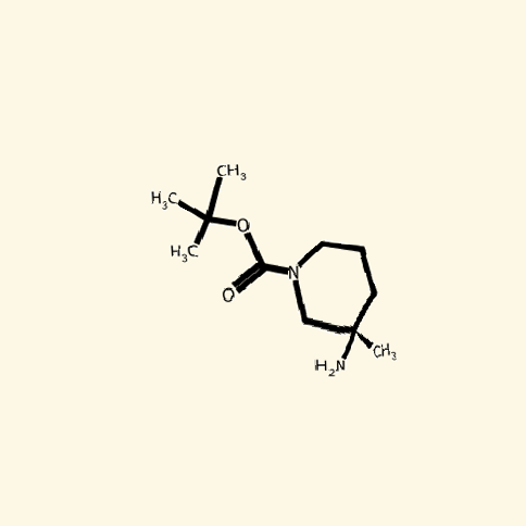 CC(C)(C)OC(=O)N1CCC[C@](C)(N)C1